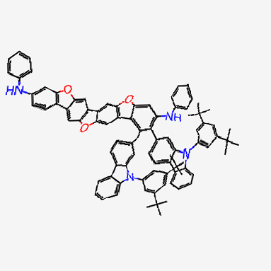 CC(C)(C)c1cc(-n2c3ccccc3c3ccc(-c4c(Nc5ccccc5)cc5oc6cc7c(cc6c5c4-c4ccc5c6ccccc6n(-c6cc(C(C)(C)C)cc(C(C)(C)C)c6)c5c4)oc4cc5c(cc47)oc4cc(Nc6ccccc6)ccc45)cc32)cc(C(C)(C)C)c1